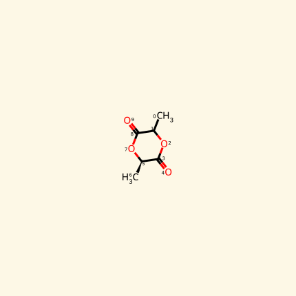 CC1OC(=O)[C@@H](C)OC1=O